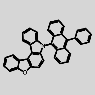 c1ccc(-c2c3ccccc3c(-n3c4ccccc4c4c5c(ccc43)oc3ccccc35)c3ccccc23)cc1